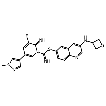 Cn1cc(-c2cc(F)c(=N)n(C(=N)Sc3ccc4ncc(NC5COC5)cc4c3)c2)cn1